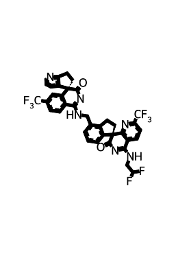 O=C1N=C(NCc2cccc3c2CC[C@@]32C(=O)N=C(NCC(F)F)c3ccc(C(F)(F)F)nc32)c2ccc(C(F)(F)F)cc2[C@]12CCc1ncccc12